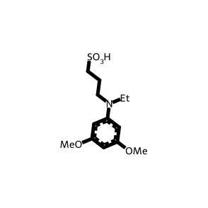 CCN(CCCS(=O)(=O)O)c1cc(OC)cc(OC)c1